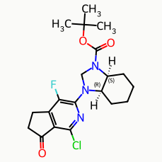 CC(C)(C)OC(=O)N1CN(c2nc(Cl)c3c(c2F)CCC3=O)[C@@H]2CCCC[C@@H]21